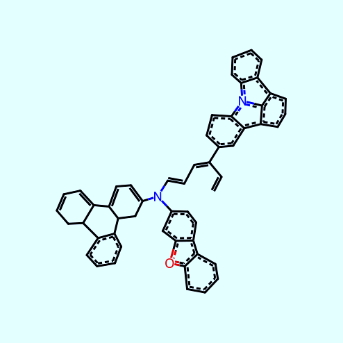 C=C/C(=C\C=C\N(C1=CC=C2C3=CC=CCC3c3ccccc3C2C1)c1ccc2c(c1)oc1ccccc12)c1ccc2c(c1)c1cccc3c4ccccc4n2c31